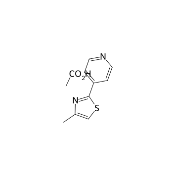 CC(=O)O.Cc1csc(-c2ccncc2)n1